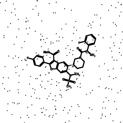 CNC(=O)c1c(-c2ccc(F)cc2)oc2cc(N(C)S(C)(=O)=O)c([C@H]3CCCN(C(=O)[C@H](N)c4ccccc4F)C3)cc12